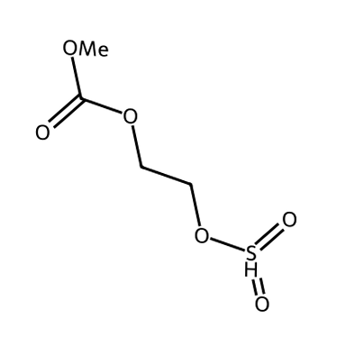 COC(=O)OCCO[SH](=O)=O